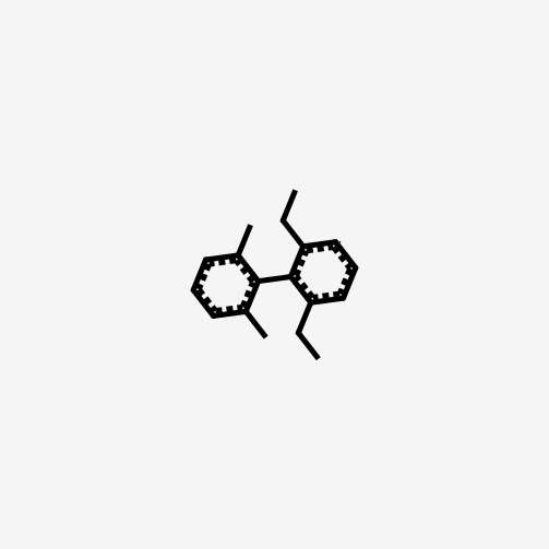 CCc1[c]ccc(CC)c1-c1c(C)cccc1C